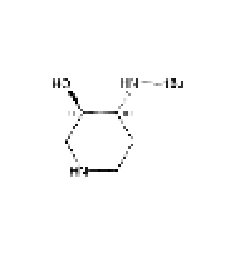 CC(C)(C)N[C@@H]1CCNC[C@H]1O